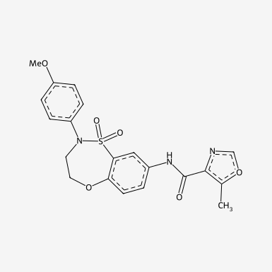 COc1ccc(N2CCOc3ccc(NC(=O)c4ncoc4C)cc3S2(=O)=O)cc1